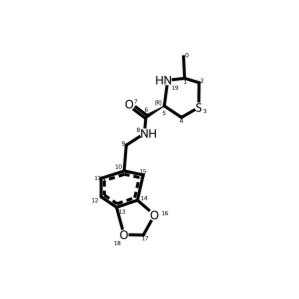 CC1CSC[C@@H](C(=O)NCc2ccc3c(c2)OCO3)N1